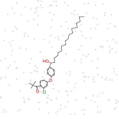 CCCCCCCCCCCCCCCCCC(O)c1ccc(Oc2ccc(C(=O)C(C)(C)C)c(Cl)c2)cc1